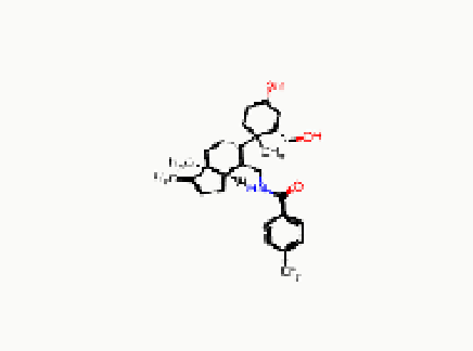 C=C1CC[C@H]2[C@H](CNC(=O)c3ccc(C(F)(F)F)cc3)[C@@H]([C@]3(C)CC[C@H](O)C[C@@H]3CO)CC[C@]12C